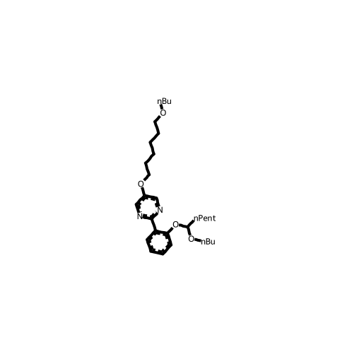 CCCCCC(OCCCC)Oc1ccccc1-c1ncc(OCCCCCCOCCCC)cn1